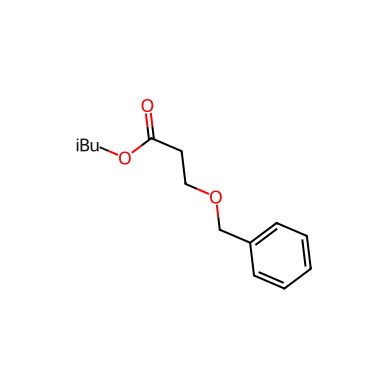 CCC(C)OC(=O)CCOCc1ccccc1